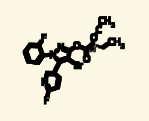 CCO[C@H](CC)C(=O)Oc1nn(-c2ccccc2F)c(-c2ccc(F)nc2)c1Br